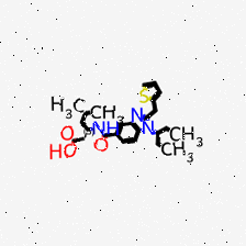 CCC(CC)n1c(Cc2cccs2)nc2cc(C(=O)N[C@H](CC(=O)O)CC(C)C)ccc21